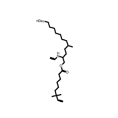 C=CNC(CCC(C)CCCCCCCCCCCCCCCCC)COC(=O)CCCCCC(C)(C)C=C